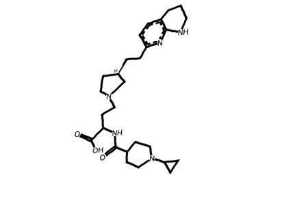 O=C(NC(CCN1CC[C@@H](CCc2ccc3c(n2)NCCC3)C1)C(=O)O)C1CCN(C2CC2)CC1